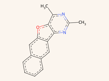 Cc1nc(C)c2oc3cc4ccccc4cc3c2n1